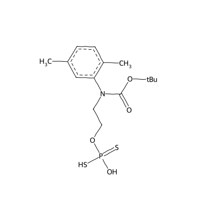 Cc1ccc(C)c(N(CCOP(O)(=S)S)C(=O)OC(C)(C)C)c1